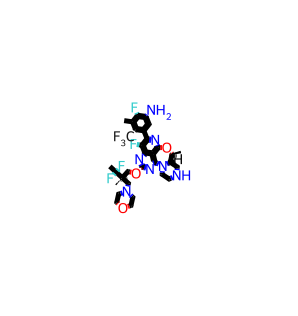 Cc1c(F)c(N)cc(-c2nc3c4c(nc(OC[C@@](C)(CN5CCOCC5)C(C)(F)F)nc4c2F)N2CCNC[C@H]2[C@H](C)O3)c1C(F)(F)F